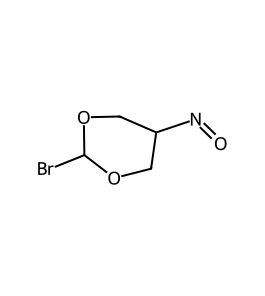 O=NC1COC(Br)OC1